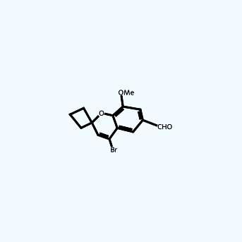 COc1cc(C=O)cc2c1OC1(C=C2Br)CCC1